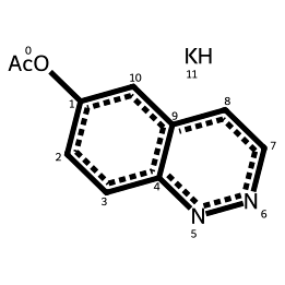 CC(=O)Oc1ccc2nnccc2c1.[KH]